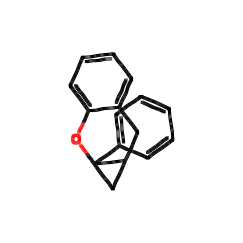 c1ccc(C23CC2Cc2ccccc2O3)cc1